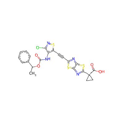 CC(OC(=O)Nc1c(Cl)nsc1C#Cc1nc2sc(C3(C(=O)O)CC3)nc2s1)c1ccccc1